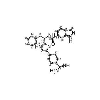 N=C(N)c1ccc(-c2c[nH]c(C(Cc3ccccc3)NC(=O)c3ccc4cn[nH]c4c3)n2)cc1